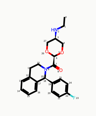 CCN[C@H]1CO[C@@H](C(=O)N2CCc3ccccc3[C@@H]2c2ccc(F)cc2)OC1